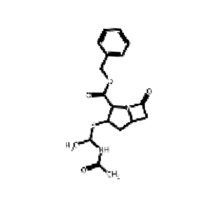 CC(=O)NC(C)SC1CC2CC(=O)N2C1C(=O)OCc1ccccc1